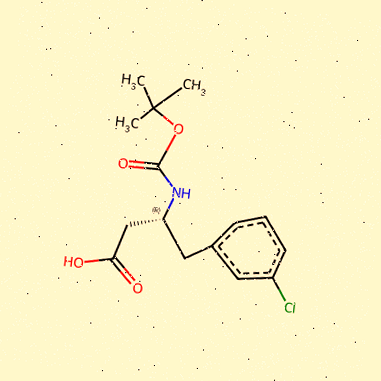 CC(C)(C)OC(=O)N[C@@H](CC(=O)O)Cc1cccc(Cl)c1